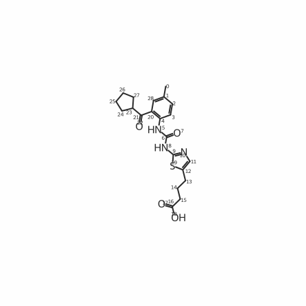 Cc1ccc(NC(=O)Nc2ncc(CCCC(=O)O)s2)c(C(=O)C2CCCC2)c1